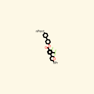 CCCCCC1CCC(C2CCC(OC(=O)c3ccc(C4CCC(CCC)OC4)c(C(F)F)c3F)CC2)CC1